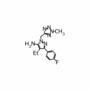 CCc1c(-c2ccc(F)cc2)nn(Cc2nnn(C)n2)c1N